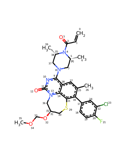 C=CC(=O)N1[C@H](C)CN(c2nc(=O)n3c4c(c(-c5ccc(F)c(Cl)c5)c(C)cc24)SC[C@@H](OCOC)C3)C[C@@H]1C